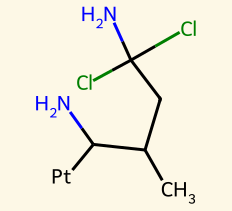 CC(CC(N)(Cl)Cl)[CH](N)[Pt]